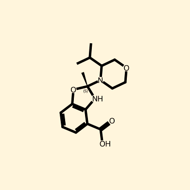 CC(C)C1COCCN1[C@]1(C)Nc2c(cccc2C(=O)O)O1